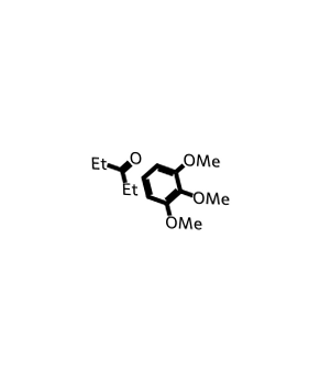 CCC(=O)CC.COc1cccc(OC)c1OC